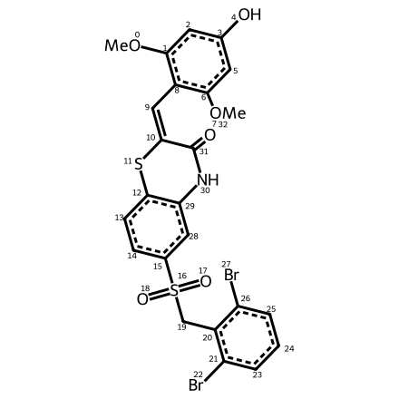 COc1cc(O)cc(OC)c1/C=C1/Sc2ccc(S(=O)(=O)Cc3c(Br)cccc3Br)cc2NC1=O